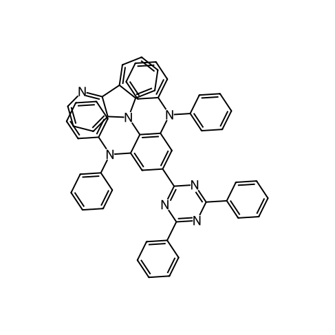 c1ccc(-c2nc(-c3ccccc3)nc(-c3cc(N(c4ccccc4)c4ccccc4)c(-n4c5ccccc5c5ncccc54)c(N(c4ccccc4)c4ccccc4)c3)n2)cc1